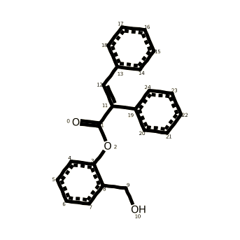 O=C(Oc1ccccc1CO)C(=Cc1ccccc1)c1ccccc1